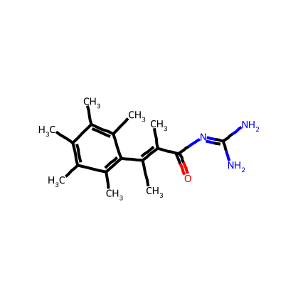 CC(C(=O)N=C(N)N)=C(C)c1c(C)c(C)c(C)c(C)c1C